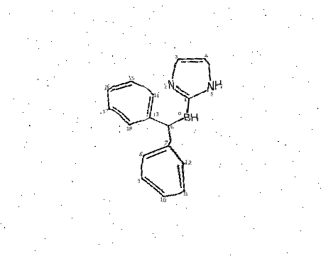 B(c1ncc[nH]1)C(c1ccccc1)c1ccccc1